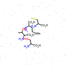 CC(O)C(N)C(=O)O.CSCCC(N)C(=O)O.NC(CO)C(=O)O.NC(CS)C(=O)O